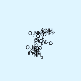 CC(C)[C@H](N)C(=O)N1CCC[C@H]1C(=O)Nc1ccc([C@H]2CC[C@H](c3ccc(NC(=O)[C@@H]4CCCN4C(=O)[C@@H](N)C(C)C)c([N+](=O)[O-])c3)N2c2cc(F)c(N3CC=C(c4ccccc4)CC3)c(F)c2)cc1[N+](=O)[O-]